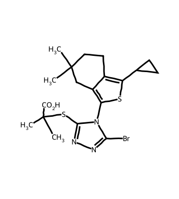 CC1(C)CCc2c(C3CC3)sc(-n3c(Br)nnc3SC(C)(C)C(=O)O)c2C1